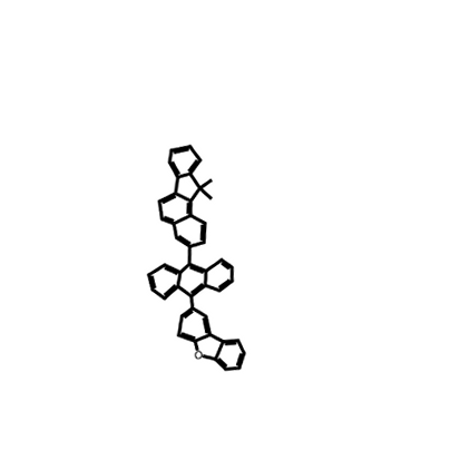 CC1(C)c2ccccc2-c2ccc3cc(-c4c5ccccc5c(-c5ccc6oc7ccccc7c6c5)c5ccccc45)ccc3c21